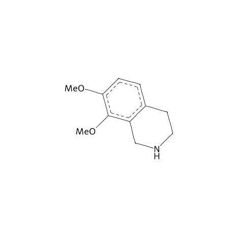 COc1ccc2c(c1OC)CNCC2